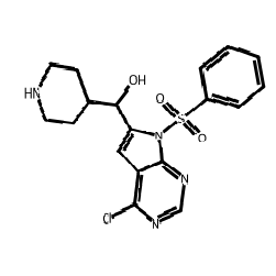 O=S(=O)(c1ccccc1)n1c(C(O)C2CCNCC2)cc2c(Cl)ncnc21